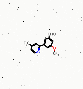 O=Cc1cc(OC(F)(F)F)cc(-c2cc(C(F)(F)F)ccn2)c1